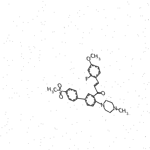 COc1ccc(C=CC(=O)c2cc(-c3ccc(S(C)(=O)=O)cc3)ccc2N2CCN(C)CC2)c(F)c1